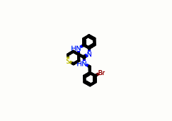 Brc1ccccc1CNC1=Nc2ccccc2NC12CCSCC2